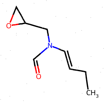 CCC=CN(C=O)CC1CO1